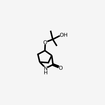 CC(C)(O)OC1CC2CC1C(=O)N2